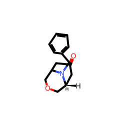 O=C1CC2COC[C@@H](C1)N2Cc1ccccc1